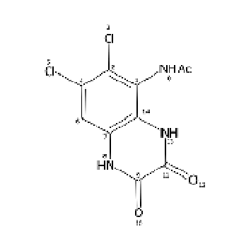 CC(=O)Nc1c(Cl)c(Cl)cc2[nH]c(=O)c(=O)[nH]c12